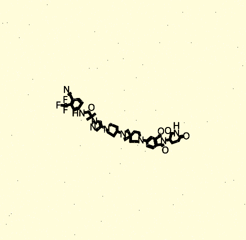 CC(C)(C(=O)Nc1ccc(C#N)c(C(F)(F)F)c1)n1cc(N2CCC(N3CC4(CCN(c5ccc6c(c5)C(=O)N(C5CCC(=O)NC5=O)C6=O)CC4)C3)CC2)cn1